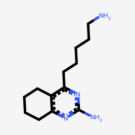 NCCCCCc1nc(N)nc2c1CCCC2